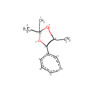 CC1OC(C)(C)OC1c1ccccc1